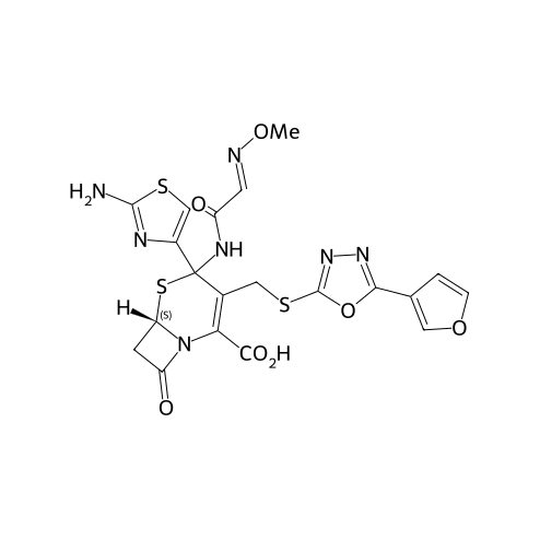 CON=CC(=O)NC1(c2csc(N)n2)S[C@H]2CC(=O)N2C(C(=O)O)=C1CSc1nnc(-c2ccoc2)o1